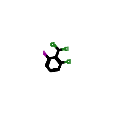 Clc1cccc(I)c1C(Cl)Cl